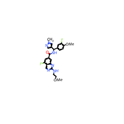 COCCNc1ncc2c(F)cc(C(=O)NC(c3ccc(OC)c(F)c3)c3cnn(C)c3)cc2n1